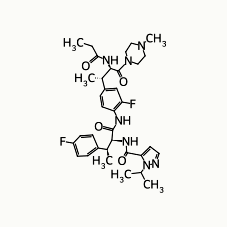 CCC(=O)N[C@@H](C(=O)N1CCN(C)CC1)[C@@H](C)c1ccc(NC(=O)[C@@H](NC(=O)c2ccnn2C(C)C)[C@@H](C)c2ccc(F)cc2)c(F)c1